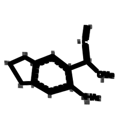 C=C=C(OC)c1cc2c(cc1NC(C)=O)CCC2